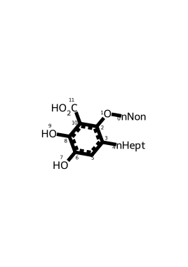 CCCCCCCCCOc1c(CCCCCCC)cc(O)c(O)c1C(=O)O